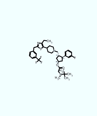 CCc1nc(Cc2cccc(C(F)(F)F)c2)sc1C1CCN(C[C@H]2C[C@H](OC(=O)CN(C)C(C)(C)C)C[C@@H]2c2cccc(F)c2)CC1